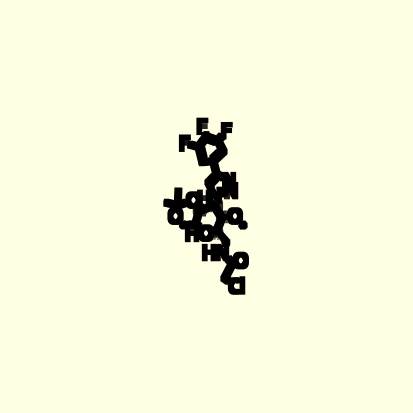 CO[C@@H]1[C@@H](n2cc(-c3cc(F)c(F)c(F)c3)nn2)[C@H]2OC(C)(C)OC[C@H]2O[C@@H]1CNC(=O)CCl